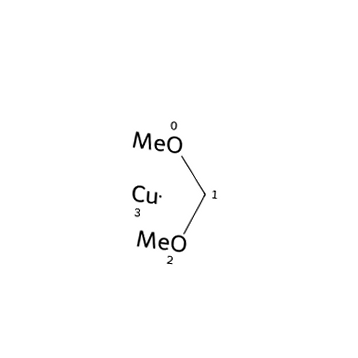 COCOC.[Cu]